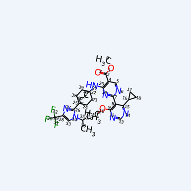 COC(=O)c1cnc(-c2c(OC)ncnc2C2CC2)nc1NC12CCC(c3nc(C(F)(F)F)cn3C(C)C)(CC1)CC2